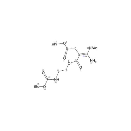 CCCOC(=O)C/C(C(=O)OCCNC(=O)OC(C)(C)C)=C(/N)NC